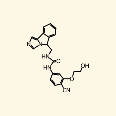 N#Cc1ccc(NC(=O)NCC2c3ccccc3-c3cncn32)cc1OCCO